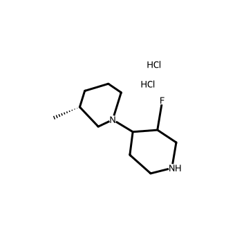 C[C@@H]1CCCN(C2CCNCC2F)C1.Cl.Cl